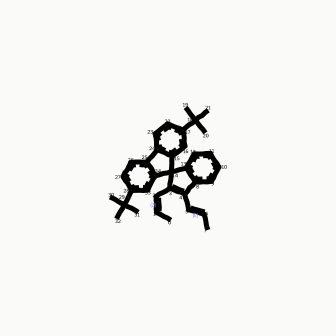 C/C=C\C1=C(/C=C/C)c2ccccc2C12c1cc(C(C)(C)C)ccc1-c1ccc(C(C)(C)C)cc12